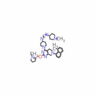 Cc1cccc2cccc(N3CCc4c(nc(OC[C@@H]5CCCN5C)nc4N4CCC(N=C=NC5CCN(C)CC5)CC4)C3)c12